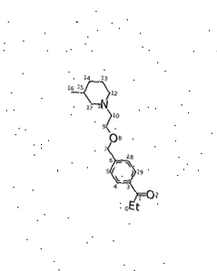 CCC(=O)c1ccc(COCCN2CCCC(C)C2)cc1